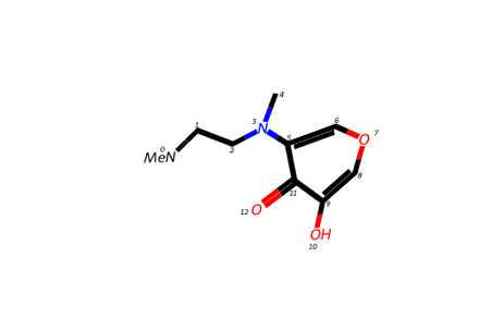 CNCCN(C)c1cocc(O)c1=O